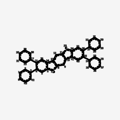 c1ccc(-c2cc3sc4cc5c(cc4c3cc2-c2ccccc2)sc2cc(-c3ccccc3)c(-c3ccccc3)cc25)cc1